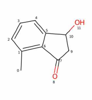 Cc1cccc2c1C(=O)CC2O